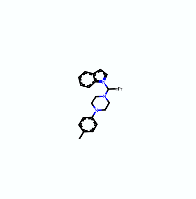 CCCC(N1CCN(c2ccc(C)cc2)CC1)n1ccc2ccccc21